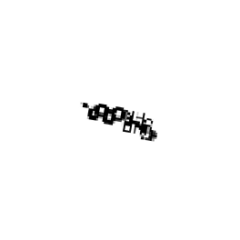 CC[C@H]1CCC2C3CCC4C[C@H](NC(=O)CNC(=O)OC(C)(C)C)CC[C@]4(C)C3CC[C@@]21C